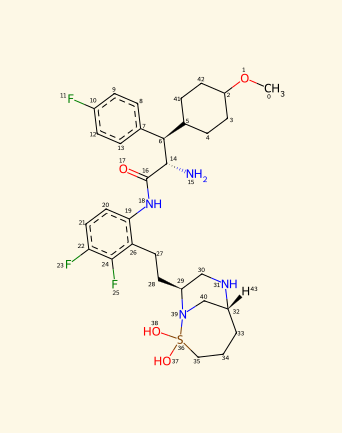 COC1CCC([C@H](c2ccc(F)cc2)[C@H](N)C(=O)Nc2ccc(F)c(F)c2CC[C@H]2CN[C@@H]3CCCS(O)(O)N2C3)CC1